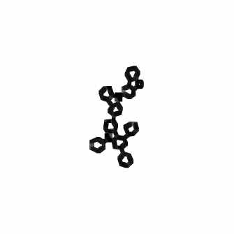 c1ccc(-c2cc(-c3ccccc3)c3c4cc(-c5ccc6c(c5)c5ccccc5n6-c5ccc6oc7ccccc7c6c5)ccc4n(-c4ccccc4)c3c2)cc1